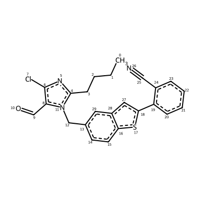 CCCCc1nc(Cl)c(C=O)n1Cc1ccc2sc(-c3ccccc3C#N)cc2c1